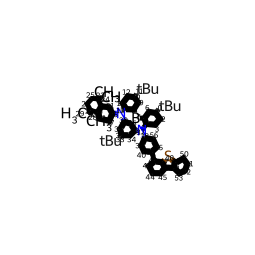 CC(C)(C)c1ccc2c(c1)B1c3cc(C(C)(C)C)ccc3N(c3ccc4c(c3)C(C)(C)CCC4(C)C)c3cc(C(C)(C)C)cc(c31)N2c1ccc(-c2cccc3c2sc2ccccc23)cc1